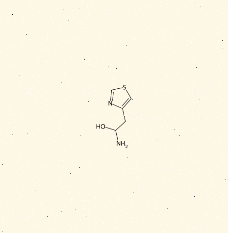 NC(O)Cc1cscn1